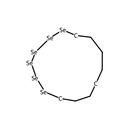 C1CCCC[Se][Se][Se][Se][Se][Se]CCC1